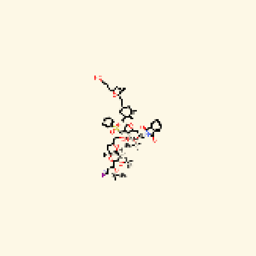 C=C1C[C@H](CCCO)OC1CC[C@@H]1CC(C[C@@H]2OC(C[C@@H](CN3C(=O)c4ccccc4C3=O)O[Si](C)(C)C(C)(C)C)[C@H](OC)[C@H]2[C@@H](C(O)CC2CC[C@@H]3OC([C@H](/C=C/I)O[Si](C)(C)C(C)(C)C)[C@@H](O[Si](C)(C)C(C)(C)C)[C@@H](C)[C@H]3O2)S(=O)(=O)c2ccccc2)C(=C)[C@H](C)C1